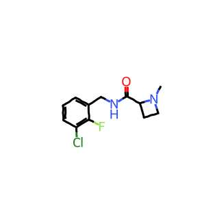 CN1CCC1C(=O)NCc1cccc(Cl)c1F